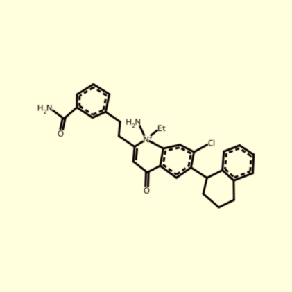 CC[N+]1(N)C(CCc2cccc(C(N)=O)c2)=CC(=O)c2cc(C3CCCc4ccccc43)c(Cl)cc21